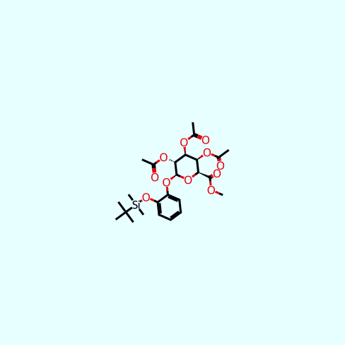 COC(=O)[C@H]1O[C@@H](Oc2ccccc2O[Si](C)(C)C(C)(C)C)[C@H](OC(C)=O)[C@@H](OC(C)=O)[C@H]1OC(C)=O